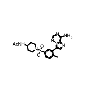 CC(=O)NC1CCN(S(=O)(=O)c2ccc(C)c(-c3cnc4c(N)ncnn34)c2)CC1